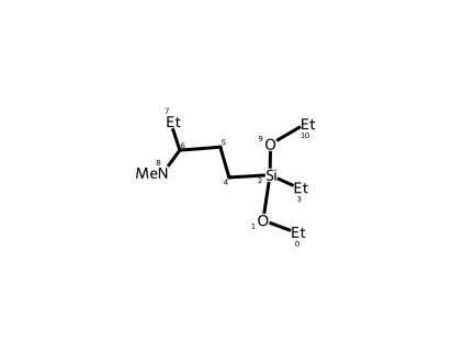 CCO[Si](CC)(CCC(CC)NC)OCC